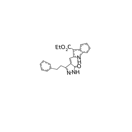 CCOC(=O)c1c(/C=C2\C(=O)NN=C2CCc2ccccc2)[nH]c2ccccc12